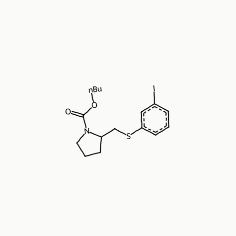 CCCCOC(=O)N1CCCC1CSc1cccc(I)c1